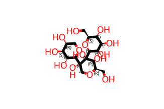 OC[C@@H]1O[C@H]([C@]2(O)[C@H](O)[C@@H](CO)O[CH][C@@]2(O)C2OC[C@@H](O)[C@H](O)[C@H]2O)[C@@H](O)[C@H](O)[C@H]1O